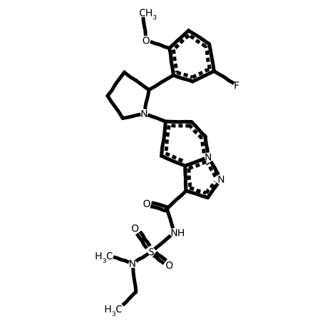 CCN(C)S(=O)(=O)NC(=O)c1cnn2ccc(N3CCCC3c3cc(F)ccc3OC)cc12